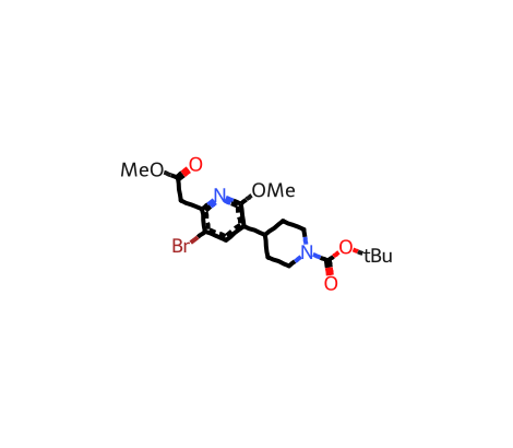 COC(=O)Cc1nc(OC)c(C2CCN(C(=O)OC(C)(C)C)CC2)cc1Br